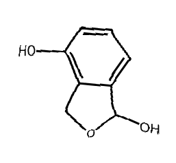 Oc1cccc2c1COC2O